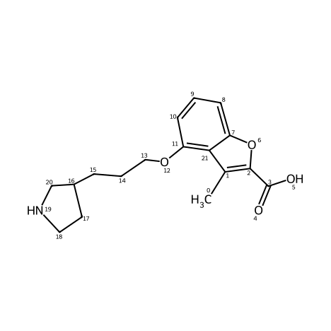 Cc1c(C(=O)O)oc2cccc(OCCCC3CCNC3)c12